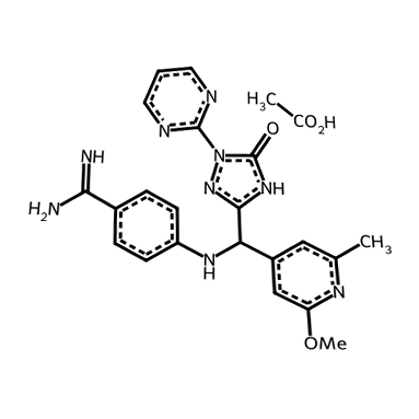 CC(=O)O.COc1cc(C(Nc2ccc(C(=N)N)cc2)c2nn(-c3ncccn3)c(=O)[nH]2)cc(C)n1